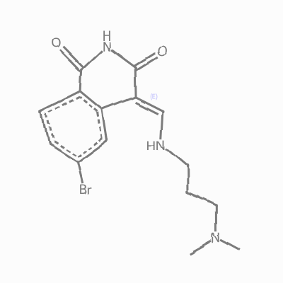 CN(C)CCCN/C=C1/C(=O)NC(=O)c2ccc(Br)cc21